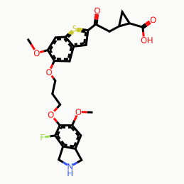 COc1cc2sc(C(=O)CC3CC3C(=O)O)cc2cc1OCCCOc1c(OC)cc2c(c1F)CNC2